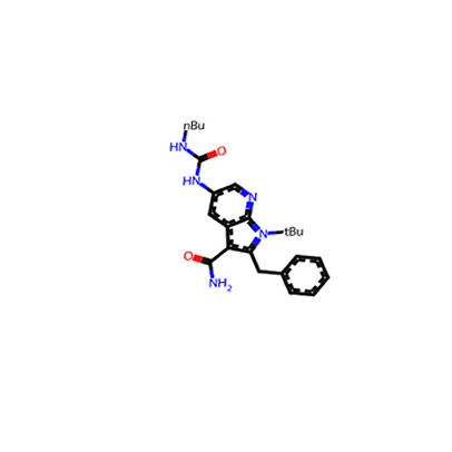 CCCCNC(=O)Nc1cnc2c(c1)c(C(N)=O)c(Cc1ccccc1)n2C(C)(C)C